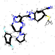 CSc1cc2nc(-c3cnn4ccc(N5CCC[C@@H]5c5cc(F)ccc5F)nc34)[nH]c2cc1C#N